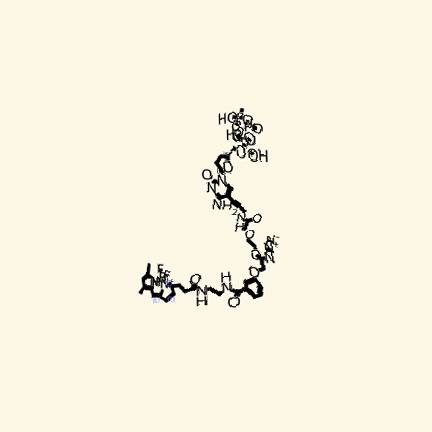 CC1=C\c2c(C)cc(C)n2[B-](F)(F)/[NH+]=C(CCC(=O)NCCNC(=O)c2cccc(OCC(N=[N+]=[N-])OCCOCC(=O)NCC#Cc3cn([C@H]4CC[C@@H](COP(=O)(O)OP(=O)(O)OP(C)(=O)O)O4)c(=O)nc3N)c2)/C=C\1